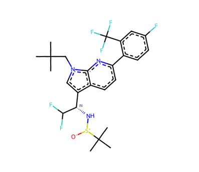 CC(C)(C)Cn1cc([C@H](N[S+]([O-])C(C)(C)C)C(F)F)c2ccc(-c3ccc(F)cc3C(F)(F)F)nc21